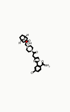 NC(=O)c1ccc(Cl)cc1-c1nc(CC(=O)N2CCN(CC(=O)N3[C@@H]4CC[C@H]3CC(O)C4)CC2)cs1